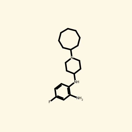 Nc1cc(F)ccc1NC1CCN(C2CCCCCCC2)CC1